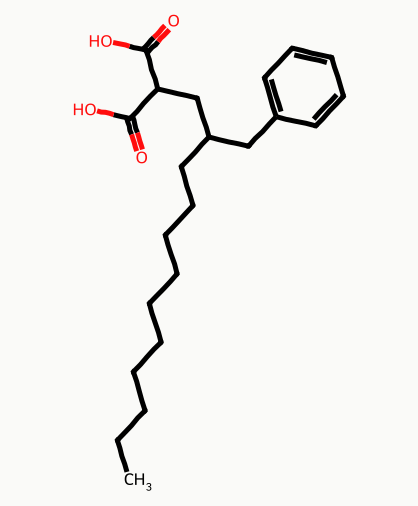 CCCCCCCCCCC(Cc1ccccc1)CC(C(=O)O)C(=O)O